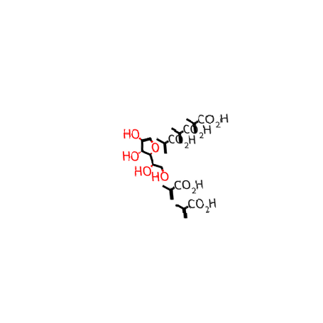 C=C(C)C(=O)O.C=C(C)C(=O)O.C=C(C)C(=O)O.C=C(C)C(=O)O.C=C(C)C(=O)O.OC[C@@H](O)[C@H]1OC[C@H](O)[C@H]1O